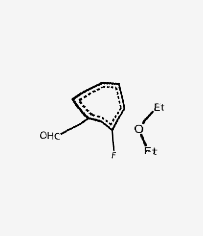 CCOCC.O=Cc1ccccc1F